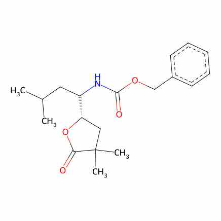 CC(C)CC(NC(=O)OCc1ccccc1)[C@@H]1CC(C)(C)C(=O)O1